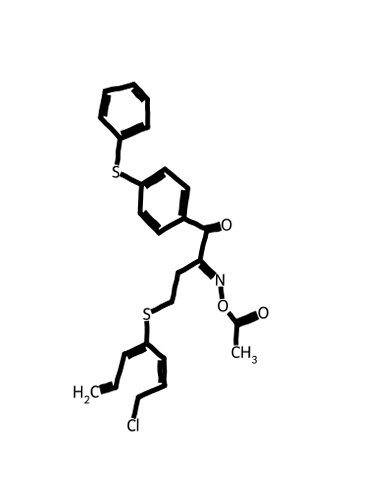 C=C/C=C(\C=C/CCl)SCC/C(=N\OC(C)=O)C(=O)c1ccc(Sc2ccccc2)cc1